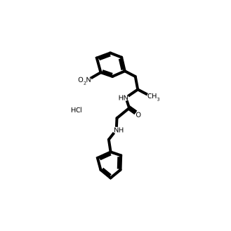 CC(Cc1cccc([N+](=O)[O-])c1)NC(=O)CNCc1ccccc1.Cl